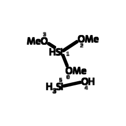 CO[SiH](OC)OC.O[SiH3]